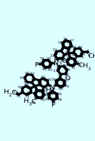 C=CC1=CC=C(C2(c3cc(C)ccc3C)c3ccccc3C3C=CC(N(C4=CC5c6cc(N(c7ccc(F)cc7)C7C=CC8=C(C7)C(C7=CCC(C=C)C=C7)(c7cc(C)ccc7C)C7CCCCC87)ccc6OC5C=C4)c4ccc(F)cc4)=CC32)CC1